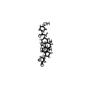 CN(C(=O)N1CC[C@@H](O)C1)[C@H]1CC[C@@]2(C)[C@H](CC[C@@H]3[C@@H]2CC[C@]2(C)[C@@H](C4=CC(=O)OC4)CC[C@]32O)C1